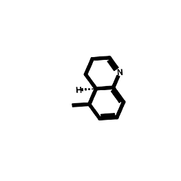 CC1C=CC=C2N=CCC[C@@H]21